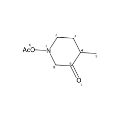 CC(=O)ON1CCC(C)C(=O)C1